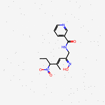 CCC(/C(C)=C/C(CNC(=O)c1cccnc1)=N\O)[N+](=O)[O-]